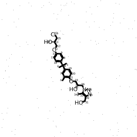 Cc1cc(C(C)(C)c2ccc(OC[C@@H](O)CCl)cc2)ccc1OC[C@@H](O)Cn1nnc(CO)c1I